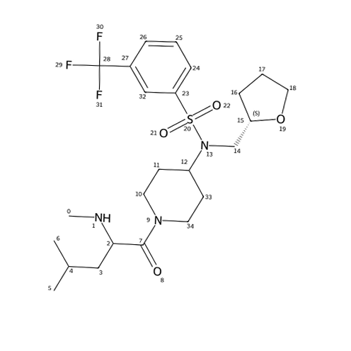 CNC(CC(C)C)C(=O)N1CCC(N(C[C@@H]2CCCO2)S(=O)(=O)c2cccc(C(F)(F)F)c2)CC1